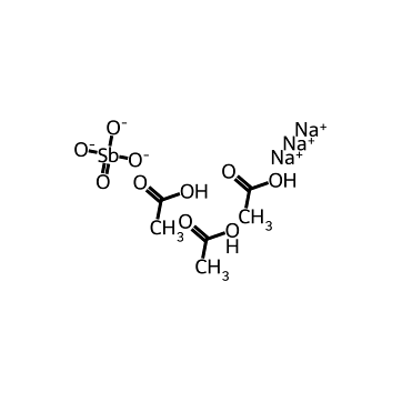 CC(=O)O.CC(=O)O.CC(=O)O.[Na+].[Na+].[Na+].[O]=[Sb]([O-])([O-])[O-]